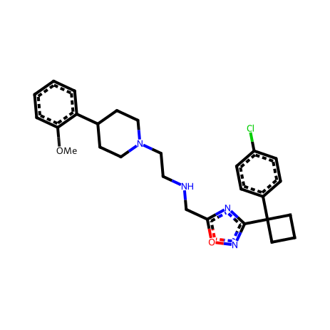 COc1ccccc1C1CCN(CCNCc2nc(C3(c4ccc(Cl)cc4)CCC3)no2)CC1